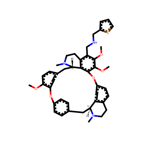 COc1ccc2cc1Oc1ccc(cc1)C[C@H]1c3cc(ccc3CCN1C)Oc1c(OC)c(OC)c(CNCc3cccs3)c3c1[C@H](C2)N(C)CC3